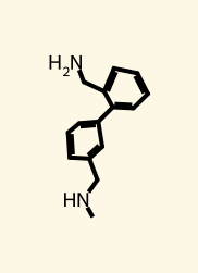 CNCc1cccc(-c2ccccc2CN)c1